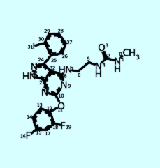 CNC(=O)NCCNc1nc(Oc2ccc(F)cc2F)nc2[nH]nc(-c3ccccc3I)c12